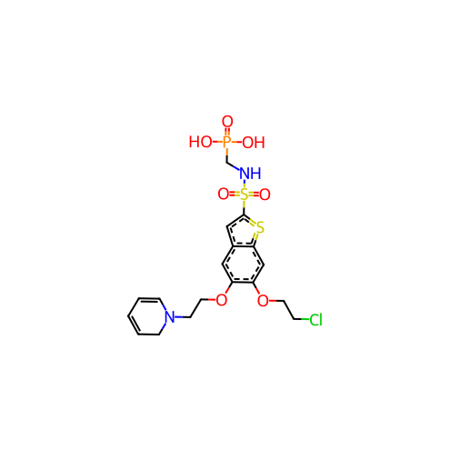 O=P(O)(O)CNS(=O)(=O)c1cc2cc(OCCN3C=CC=CC3)c(OCCCl)cc2s1